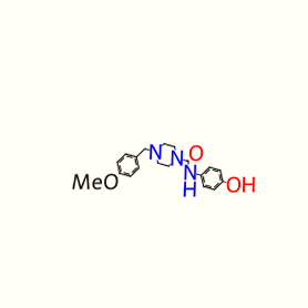 COc1ccc(CN2CCN(C(=O)Nc3ccc(O)cc3)CC2)cc1